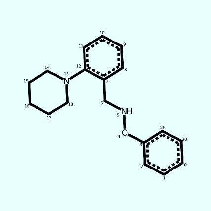 c1ccc(ONCc2ccccc2N2CCCCC2)cc1